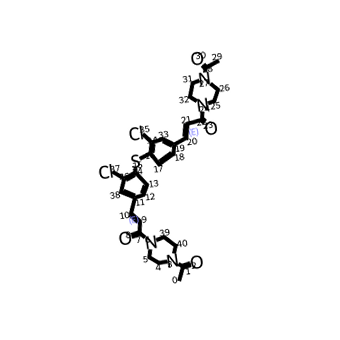 CC(=O)N1CCN(C(=O)/C=C/c2ccc(Sc3ccc(/C=C/C(=O)N4CCN(C(C)=O)CC4)cc3Cl)c(Cl)c2)CC1